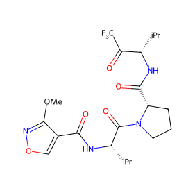 COc1nocc1C(=O)N[C@H](C(=O)N1CCC[C@H]1C(=O)N[C@H](C(=O)C(F)(F)F)C(C)C)C(C)C